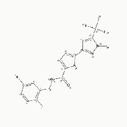 Cc1ccc(F)cc1CNC(=O)c1ccc(-c2cc(C(F)(F)F)n(C)n2)s1